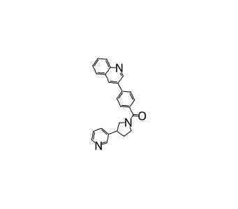 O=C(c1ccc(-c2cnc3ccccc3c2)cc1)N1CCC(c2cccnc2)C1